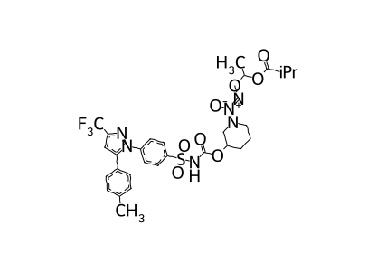 Cc1ccc(-c2cc(C(F)(F)F)nn2-c2ccc(S(=O)(=O)NC(=O)OC3CCCN(/[N+]([O-])=N/OC(C)OC(=O)C(C)C)C3)cc2)cc1